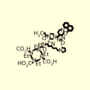 C=CC(=O)N1CCN(c2nc(OC[C@@H]3CCCN3CCCCCCNC(=O)CN3C[C@H](CC)N(CC(=O)O)C[C@H](CC)N(CC(=O)O)C[C@H](CC)N(CC(=O)O)C[C@@H]3CC)nc3c2CCN(c2cccc4cccc(Cl)c24)C3)C[C@@H]1CC#N